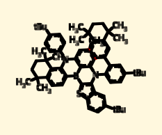 Cc1cc2c3c(c1)N(c1ccc(C(C)(C)C)cc1-c1ccc4c(c1)C(C)(C)CCC4(C)C)c1c(sc4ccc(C(C)(C)C)cc14)B3c1ccc3c(c1N2c1ccc(C(C)(C)C)cc1)C(C)(C)CCC3(C)C